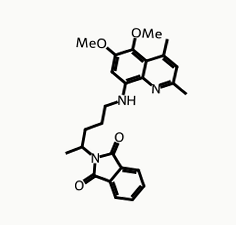 COc1cc(NCCCC(C)N2C(=O)c3ccccc3C2=O)c2nc(C)cc(C)c2c1OC